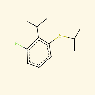 CC(C)Sc1cccc(F)c1C(C)C